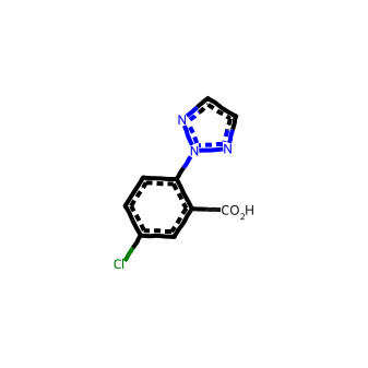 O=C(O)c1cc(Cl)ccc1-n1nccn1